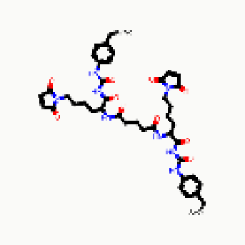 CC(=O)OCc1ccc(NC(=O)NC(=O)C(CCCCN2C(=O)C=CC2=O)NC(=O)CCCC(=O)NC(CCCCN2C(=O)C=CC2=O)C(=O)NC(=O)Nc2ccc(COC(C)=O)cc2)cc1